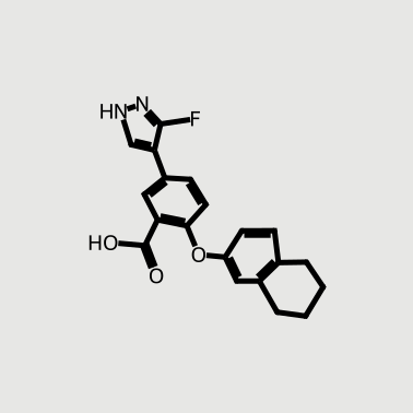 O=C(O)c1cc(-c2c[nH]nc2F)ccc1Oc1ccc2c(c1)CCCC2